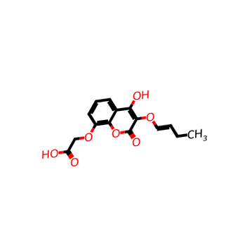 CCC=COc1c(O)c2cccc(OCC(=O)O)c2oc1=O